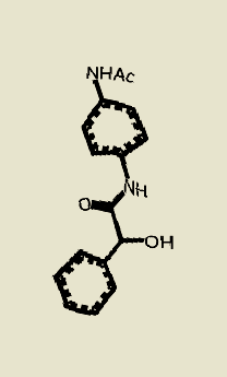 CC(=O)Nc1ccc(NC(=O)C(O)c2ccccc2)cc1